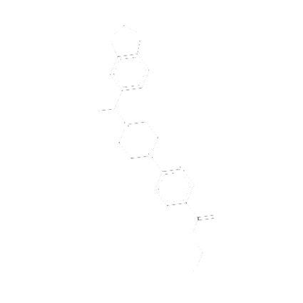 CCOC(=O)c1ccc(N2CCN(C(C)c3ccc4c(c3)OCO4)CC2)nc1